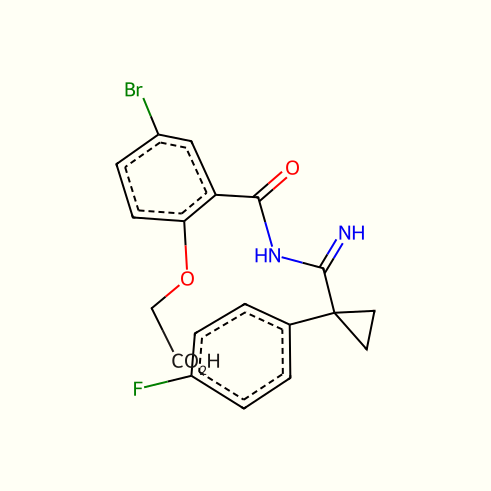 N=C(NC(=O)c1cc(Br)ccc1OCC(=O)O)C1(c2ccc(F)cc2)CC1